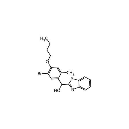 CCCCOc1cc(C)c(C(O)c2nc3ccccc3s2)cc1Br